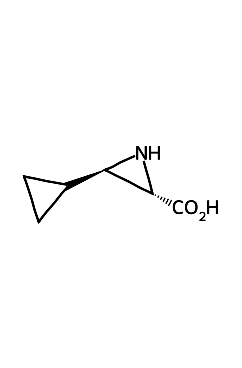 O=C(O)[C@H]1N[C@@H]1C1CC1